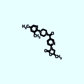 Cc1cnc(N2CCN(C(=O)c3ccc(N4CC(C)OC4=O)nc3)CC2)c(C)c1